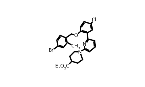 CCOC(=O)C1CCN(c2cccc(-c3cc(Cl)ccc3OCc3ccc(Br)cc3C)n2)CC1